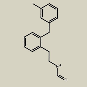 Cc1cccc(Cc2ccccc2CCNC=O)c1